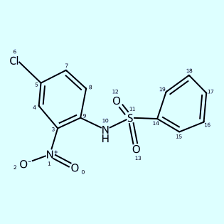 O=[N+]([O-])c1cc(Cl)ccc1NS(=O)(=O)c1ccccc1